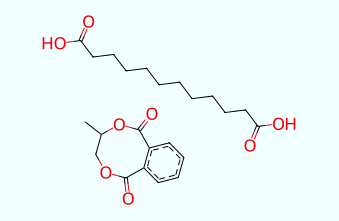 CC1COC(=O)c2ccccc2C(=O)O1.O=C(O)CCCCCCCCCCC(=O)O